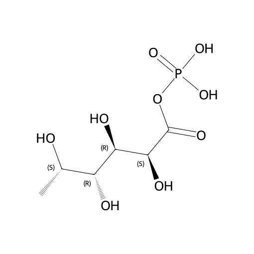 C[C@H](O)[C@@H](O)[C@@H](O)[C@H](O)C(=O)OP(=O)(O)O